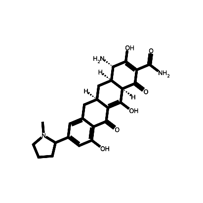 CN1CCCC1c1cc(O)c2c(c1)C[C@H]1C[C@@H]3[C@@H](C(=O)C(C(N)=O)=C(O)[C@H]3N)C(O)=C1C2=O